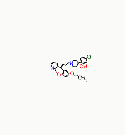 CCCOc1ccc2c(c1)C(=CCCN1CCC(O)(c3ccc(Cl)cc3)CC1)c1cccnc1CO2